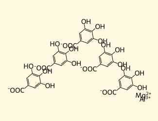 O=C([O-])c1cc(O)c(O)c(O)c1.O=C([O-])c1cc(O)c(O)c(O)c1.O=C([O-])c1cc(O)c(O)c(O)c1.O=C([O-])c1cc(O)c(O)c(O)c1.O=C([O-])c1cc(O)c(O)c(O)c1.[Al+3].[Mg+2]